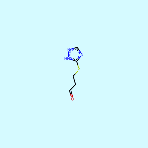 O=CCCSc1ncn[nH]1